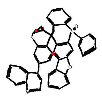 O=P1(c2ccccc2)c2ccccc2C2(c3ccccc3Sc3cc(-c4ccnc5ccccc45)ccc32)c2cc3c(cc21)oc1ccccc13